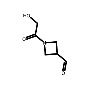 O=CC1CN(C(=O)CO)C1